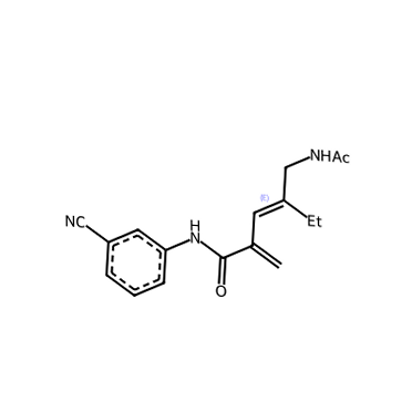 C=C(/C=C(\CC)CNC(C)=O)C(=O)Nc1cccc(C#N)c1